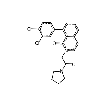 O=C(Cn1ccc2cccc(-c3ccc(Cl)c(Cl)c3)c2c1=O)N1CCCC1